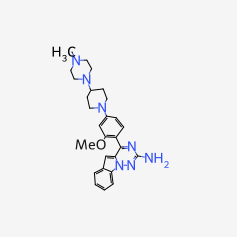 COc1cc(N2CCC(N3CCN(C)CC3)CC2)ccc1-c1nc(N)nn2c1cc1ccccc12